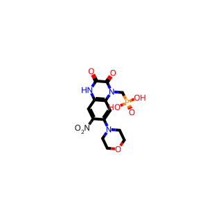 O=c1[nH]c2cc([N+](=O)[O-])c(N3CCOCC3)cc2n(CP(=O)(O)O)c1=O